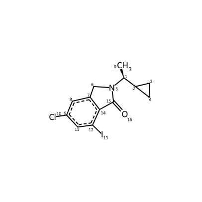 C[C@@H](C1CC1)N1Cc2cc(Cl)cc(I)c2C1=O